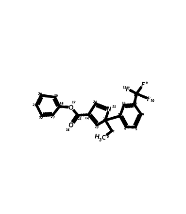 CCC1(c2cccc(C(F)(F)F)c2)C=C(C(=O)Oc2ccccc2)C=N1